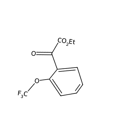 CCOC(=O)C(=O)c1ccccc1OC(F)(F)F